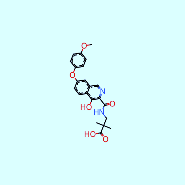 COc1ccc(Oc2ccc3c(O)c(C(=O)NCC(C)(C)C(=O)O)ncc3c2)cc1